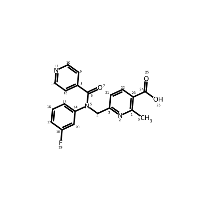 Cc1nc(CN(C(=O)c2ccncc2)c2cccc(F)c2)ccc1C(=O)O